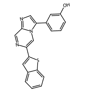 Oc1cccc(-c2cnc3cnc(-c4cc5ccccc5s4)cn23)c1